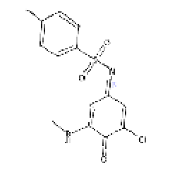 CBC1=C/C(=N\S(=O)(=O)c2ccc(C)cc2)C=C(Cl)C1=O